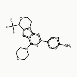 Nc1ccc(-c2nc(N3CCOCC3)c3nc4n(c3n2)CCOC4C(F)(F)F)cn1